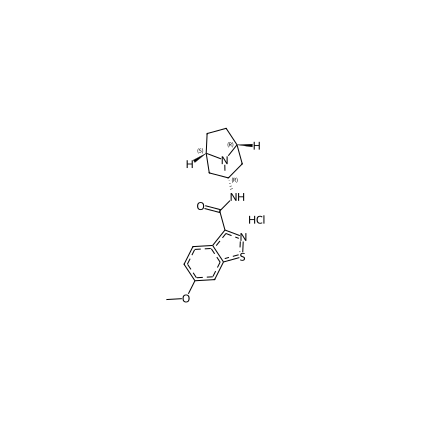 COc1ccc2c(C(=O)N[C@H]3C[C@H]4CC[C@@H](C3)N4C)nsc2c1.Cl